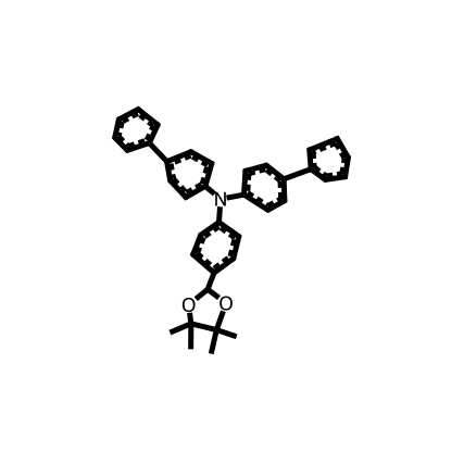 CC1(C)OC(c2ccc(N(c3ccc(-c4ccccc4)cc3)c3ccc(-c4ccccc4)cc3)cc2)OC1(C)C